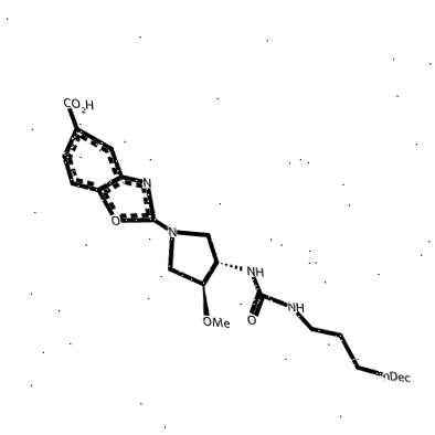 CCCCCCCCCCCCCNC(=O)N[C@H]1CN(c2nc3cc(C(=O)O)ccc3o2)C[C@@H]1OC